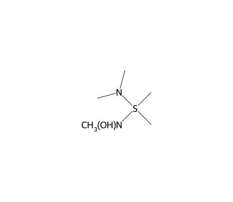 CN(C)S(C)(C)N(C)O